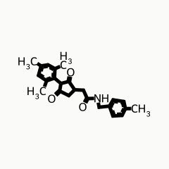 Cc1ccc(CNC(=O)CC2CC(=O)C(c3c(C)cc(C)cc3C)C2=O)cc1